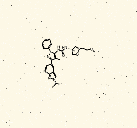 COCCN1C[C@@H](NC(=O)Nc2c(C)c(-c3cnc4nn(C(F)F)cc4c3)nn2-c2ccccc2)CO1